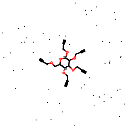 C#CCOCC1O[C@@H](OCC#C)C(OCC#C)C(OCC#C)[C@@H]1OCC#C